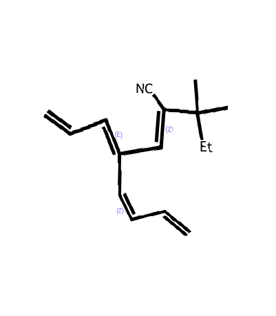 C=C\C=C/C(/C=C(\C#N)C(C)(C)CC)=C\C=C